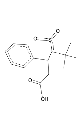 CC(C)(C)C(C(CC(=O)O)c1ccccc1)=S(=O)=O